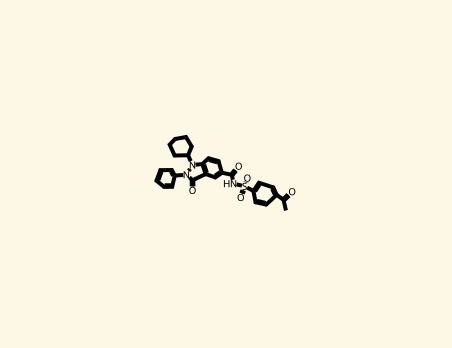 CC(=O)c1ccc(S(=O)(=O)NC(=O)c2ccc3c(c2)c(=O)n(-c2ccccc2)n3C2CCCCC2)cc1